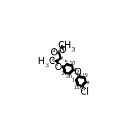 COC(=O)CC(C)Oc1ccc(Oc2ccc(Cl)cc2)cc1